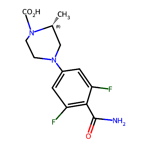 C[C@@H]1CN(c2cc(F)c(C(N)=O)c(F)c2)CCN1C(=O)O